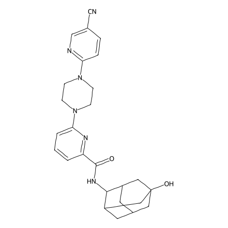 N#Cc1ccc(N2CCN(c3cccc(C(=O)NC4C5CC6CC4CC(O)(C6)C5)n3)CC2)nc1